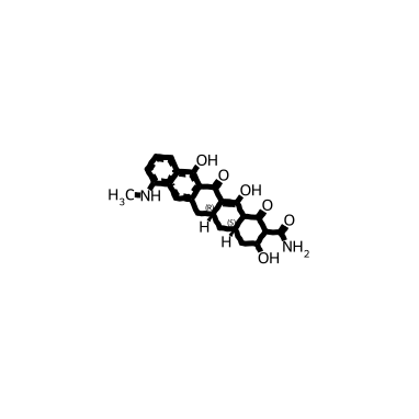 CNc1cccc2c(O)c3c(cc12)C[C@H]1C[C@H]2CC(O)C(C(N)=O)C(=O)C2C(O)=C1C3=O